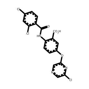 O=C(Nc1ccc(Oc2cncc(Cl)n2)cc1C(=O)O)c1ccc(Cl)cc1Cl